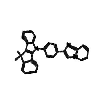 CC1(C)c2ccccc2-c2c1c1ccccc1n2-c1ccc(-c2cn3ccccc3n2)cc1